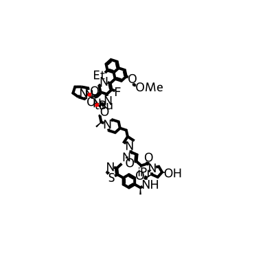 CCc1cccc2cc(OCOC)cc(-c3ncc4c(N5CC6CCC(C5)N6C(=O)OC(C)(C)C)nc(OC[C@H](C)N5CCC(CC6CN(c7cc([C@@H](C(=O)N8C[C@H](O)C[C@H]8C(=O)N[C@@H](C)c8ccc(-c9scnc9C)cc8)C(C)C)on7)C6)CC5)nc4c3F)c12